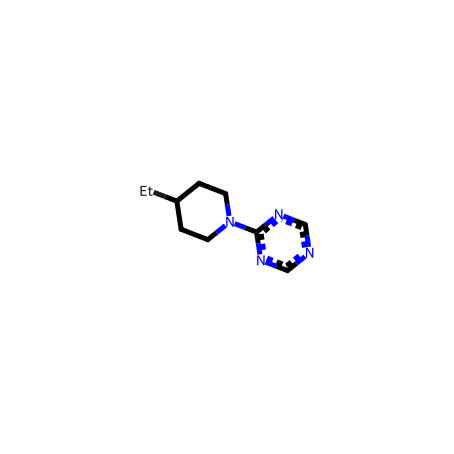 CCC1CCN(c2ncncn2)CC1